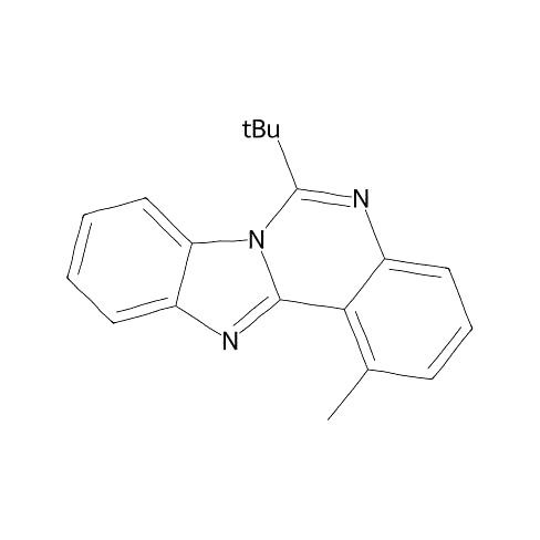 Cc1cccc2nc(C(C)(C)C)n3c4ccccc4nc3c12